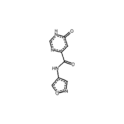 O=C(Nc1cnoc1)c1cc(=O)[nH]cn1